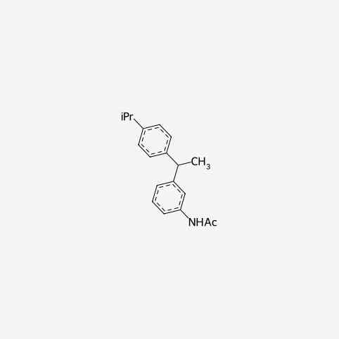 CC(=O)Nc1cccc(C(C)c2ccc(C(C)C)cc2)c1